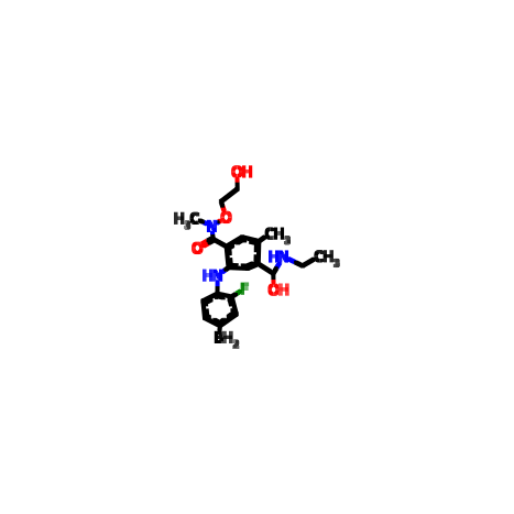 Bc1ccc(Nc2cc(C(O)NCC)c(C)cc2C(=O)N(C)OCCO)c(F)c1